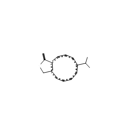 CC(C)c1ccccc2c(ccc1)C(=O)NC2